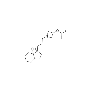 CC12CCCCC1CCC2CCCN1CC(OC(F)F)C1